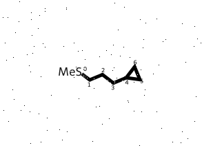 CSCCCC1[CH]C1